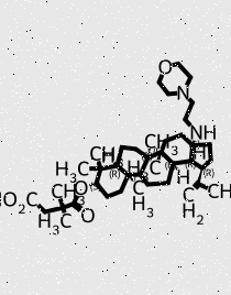 C=C(C)[C@@H]1CC[C@]2(NCCN3CCOCC3)CC[C@]3(C)[C@H](CCC4[C@@]5(C)CC[C@H](OC(=O)C(C)(C)CC(=O)O)C(C)(C)[C@@H]5CC[C@]43C)[C@@H]12